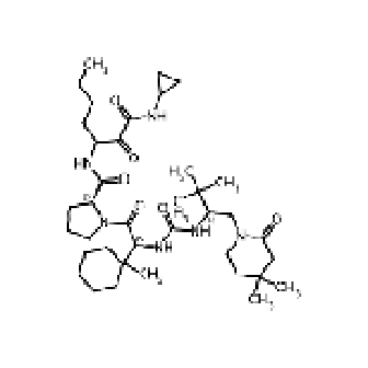 CCCCC(NC(=O)[C@@H]1CCCN1C(=O)[C@@H](NC(=O)N[C@H](CN1CCC(C)(C)CC1=O)C(C)(C)C)C1(C)CCCCC1)C(=O)C(=O)NC1CC1